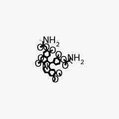 COc1cc2c(cc1OC)C1C(c3ccc(OC(=O)[C@H](C)N)c(OC)c3)c3c(c(=O)oc4cc(OC(=O)[C@H](C)N)c(OC)cc34)N1C=C2